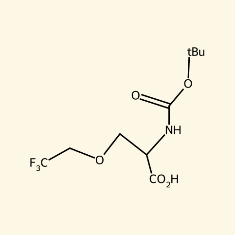 CC(C)(C)OC(=O)NC(COCC(F)(F)F)C(=O)O